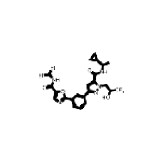 CCC(CC)NC(=O)c1cnc(-c2cccc(-c3cc(C(=O)NC(C)C4CC4)n(CC(O)C(F)(F)F)n3)c2)o1